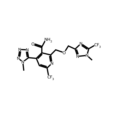 Cn1nnnc1-c1cc(C(F)(F)F)nc(COCc2nc(C(F)(F)F)n(C)n2)c1C(N)=O